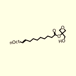 CCCCCCCCC=CCCCCCCCC(=O)OC1(CO)COC1